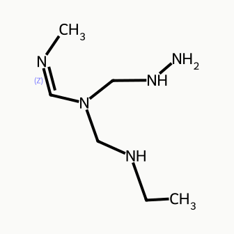 CCNCN(/C=N\C)CNN